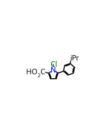 CC(C)c1cccc(-c2ccc(C(=O)O)n2Cl)c1